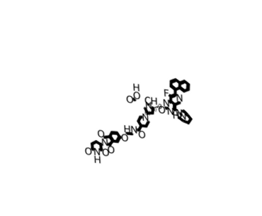 CN1C[C@@H](N2CCC(C(=O)NCCOc3ccc4c(c3)C(=O)N(C3CCC(=O)NC3=O)C4=O)CC2)C[C@H]1COc1nc(N2CC3CCC(C2)N3)c2cnc(-c3cccc4ccccc34)c(F)c2n1.O=CO